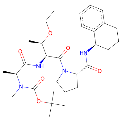 CCO[C@H](C)[C@H](NC(=O)[C@H](C)N(C)C(=O)OC(C)(C)C)C(=O)N1CCC[C@H]1C(=O)N[C@@H]1CCCc2ccccc21